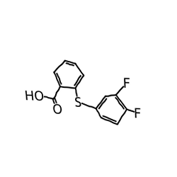 O=C(O)c1ccccc1Sc1ccc(F)c(F)c1